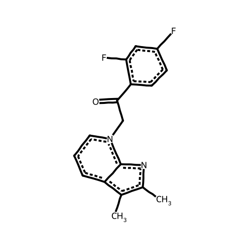 Cc1nc2n(CC(=O)c3ccc(F)cc3F)cccc-2c1C